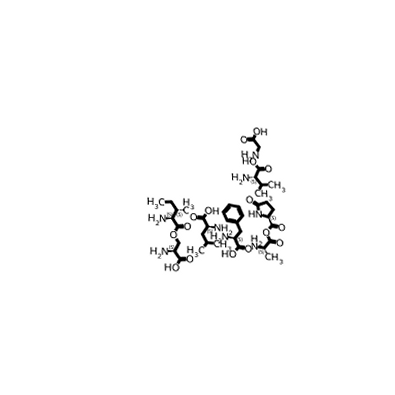 CC(C)C[C@H](N)C(=O)O.CC(C)[C@H](N)C(=O)O.CC[C@H](C)[C@H](N)C(=O)OC[C@H](N)C(=O)O.C[C@H](N)C(=O)OC(=O)[C@@H]1CCC(=O)N1.NCC(=O)O.N[C@@H](Cc1ccccc1)C(=O)O